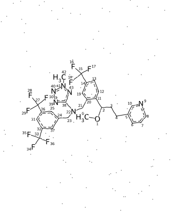 COC(CCc1cccnc1)c1ccc(C(F)(F)F)cc1CN(Cc1cc(C(F)(F)F)cc(C(F)(F)F)c1)c1nnn(C)n1